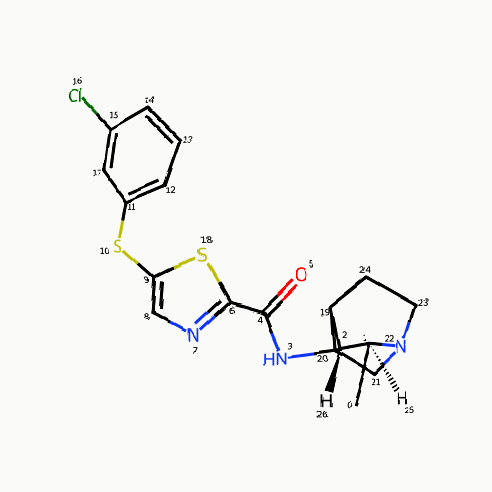 C[C@H]1[C@H](NC(=O)c2ncc(Sc3cccc(Cl)c3)s2)C2CCN1CC2